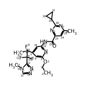 CCOc1cc([C@@](C)(F)C(F)(F)c2nncn2C)cc(NC(=O)c2cc(C)nc(C3CC3)n2)n1